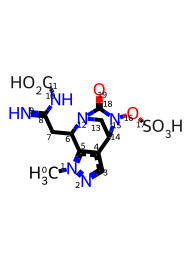 Cn1ncc2c1C(CC(=N)NC(=O)O)N1CC2N(OS(=O)(=O)O)C1=O